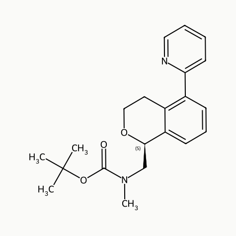 CN(C[C@H]1OCCc2c(-c3ccccn3)cccc21)C(=O)OC(C)(C)C